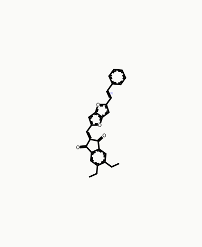 CCc1cc2c(cc1CC)C(=O)C(=Cc1cc3oc(/C=C/c4ccccc4)cc3o1)C2=O